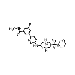 [2H]C([2H])([C@@H]1CCCOC1)N1C[C@H]2CC(Nc3ccc(-c4cc(F)cc(C(=O)NC)c4)nn3)C[C@H]2C1